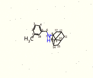 Cc1cccc(CNC23CC4CC(CC(C4)C2)C3)c1